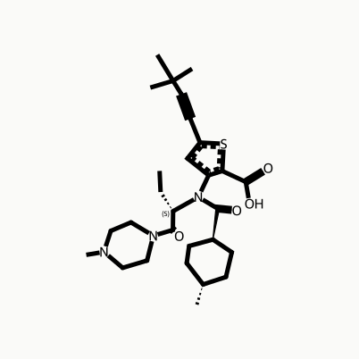 CC[C@@H](C(=O)N1CCN(C)CC1)N(c1cc(C#CC(C)(C)C)sc1C(=O)O)C(=O)[C@H]1CC[C@H](C)CC1